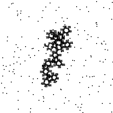 C=C/C=C\c1c(C)n(-c2ccccc2)c2c1c(-c1ccc3c(c1)c1ccccc1n3-c1ccc3sc4ccc(-n5c6ccccc6c6ccccc65)cc4c3c1)cc1c3ccccc3n(-c3nc(-c4ccccc4)nc(-c4ccccc4)n3)c12